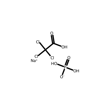 O=C(O)C(Cl)(Cl)Cl.O=P([O-])(O)O.[Na+]